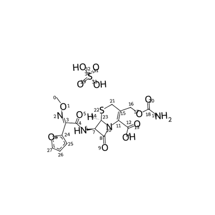 CO/N=C(\C(=O)N[C@@H]1C(=O)N2C(C(=O)O)=C(COC(N)=O)CS[C@H]12)c1ccco1.O=S(=O)(O)O